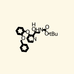 CC(C)(C)OC(=O)NCC(O)c1ncccc1Oc1ccccc1OCc1ccccc1